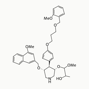 COc1ccccc1COCCCOc1ccc([C@@H]2[C@@H](OCc3cc(OC)c4ccccc4c3)CNC[C@H]2OC(OC)C(C)O)cc1